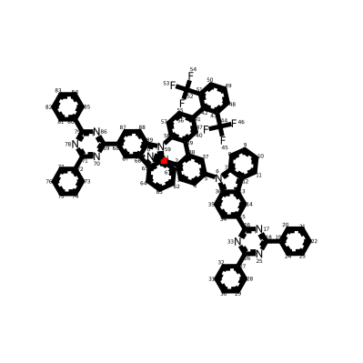 N#Cc1ccc(-n2c3ccccc3c3cc(-c4nc(-c5ccccc5)nc(-c5ccccc5)n4)ccc32)cc1-c1cc(-c2c(C(F)(F)F)cccc2C(F)(F)F)ccc1-n1c2ccccc2c2cc(-c3nc(-c4ccccc4)nc(-c4ccccc4)n3)ccc21